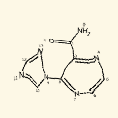 NC(=O)c1nccnc1-n1cncn1